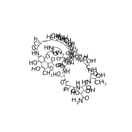 C/C1=C/C=C/[C@H](C)[C@H](O)[C@@H](C)[C@@H](O)[C@@H](C)[C@H](C)[C@H](C)[C@@H](CO)/C=C/O[C@@]2(C)Oc3c(C)c(O)c4c(O)c(cc(OCC(=O)NCCNC(C)C(=O)NCC5NC(=O)C(C(=O)O)NC(=O)C(O)CNC(=O)C(C(C)O)NC(=O)C(C(O)C(O)C(N)=O)NC(=O)C(C(C)C)CC(=O)C(CO)NC5=O)c4c3C2=O)NC1=O